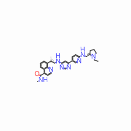 CCN1CCC[C@@H]1CNc1ccc(-c2cc(NC[C@@H](C)c3cccc4c(C(=O)NC)ccnc34)ncn2)cn1